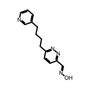 O/N=C/c1ccc(CCCCc2cccnc2)nn1